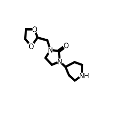 O=C1N(CC2OCCO2)CCN1C1CCNCC1